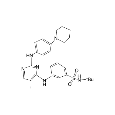 Cc1cnc(Nc2ccc(N3CCCCC3)cc2)nc1Nc1cccc(S(=O)(=O)NC(C)(C)C)c1